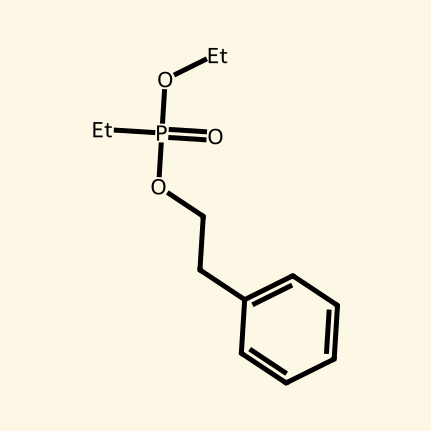 CCOP(=O)(CC)OCCc1ccccc1